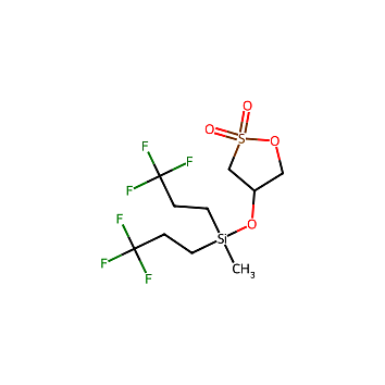 C[Si](CCC(F)(F)F)(CCC(F)(F)F)OC1COS(=O)(=O)C1